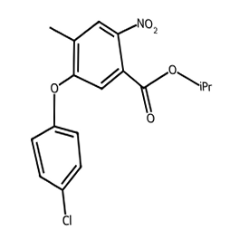 Cc1cc([N+](=O)[O-])c(C(=O)OC(C)C)cc1Oc1ccc(Cl)cc1